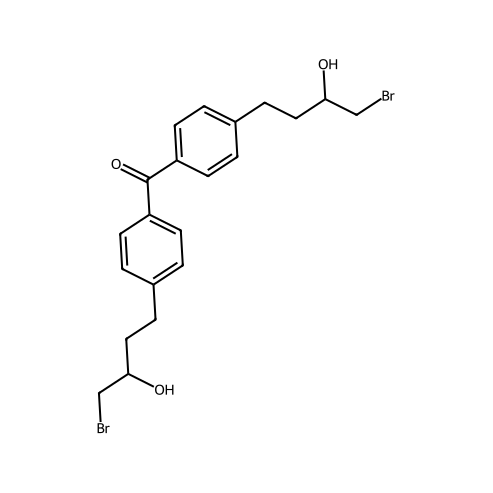 O=C(c1ccc(CCC(O)CBr)cc1)c1ccc(CCC(O)CBr)cc1